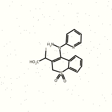 NN(C1=C(C(I)C(=O)O)CS(=O)(=O)c2ccccc21)c1ccccn1